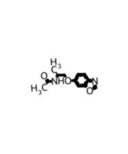 CC(=O)N[C@@H](C)COc1ccc2ncoc2c1